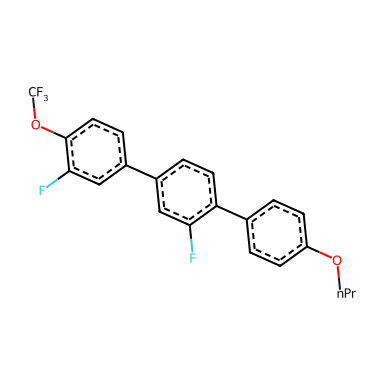 CCCOc1ccc(-c2ccc(-c3ccc(OC(F)(F)F)c(F)c3)cc2F)cc1